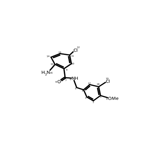 COc1ccc(CNC(=O)c2cc(Cl)ccc2N)cc1Cl